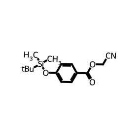 CC(C)(C)[Si](C)(C)Oc1ccc(C(=O)OCC#N)cc1